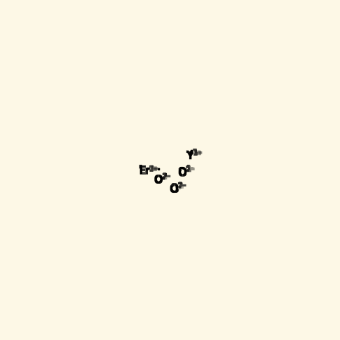 [Er+3].[O-2].[O-2].[O-2].[Y+3]